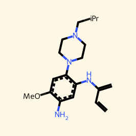 C=CC(=C)Nc1cc(N)c(OC)cc1N1CCN(CC(C)C)CC1